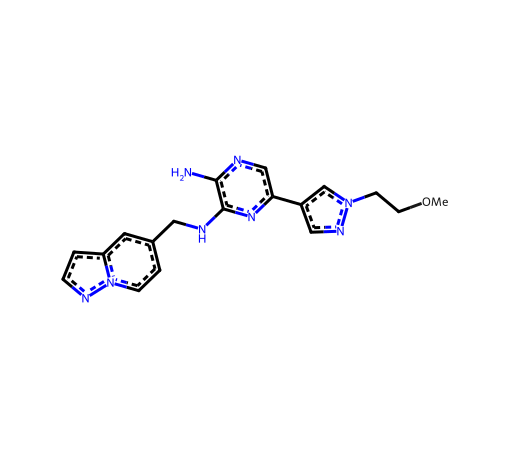 COCCn1cc(-c2cnc(N)c(NCc3ccn4nccc4c3)n2)cn1